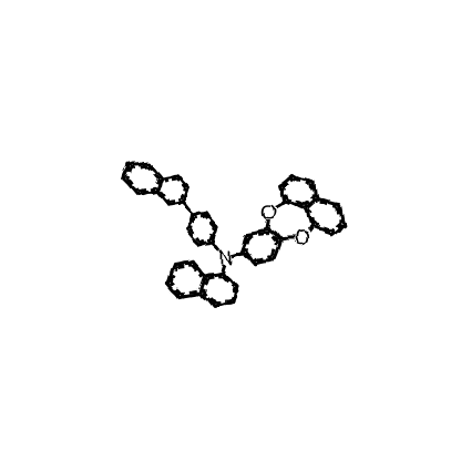 c1ccc2cc(-c3ccc(N(c4ccc5c(c4)Oc4cccc6cccc(c46)O5)c4cccc5ccccc45)cc3)ccc2c1